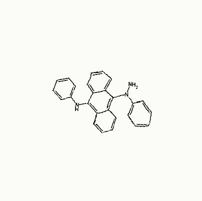 NN(c1ccccc1)c1c2ccccc2c(Nc2ccccc2)c2ccccc12